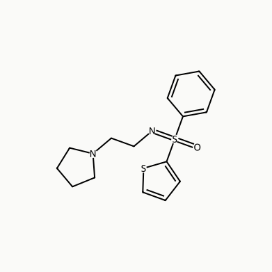 O=S(=NCCN1CCCC1)(c1ccccc1)c1cccs1